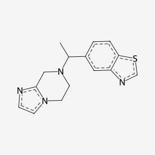 CC(c1ccc2scnc2c1)N1CCn2ccnc2C1